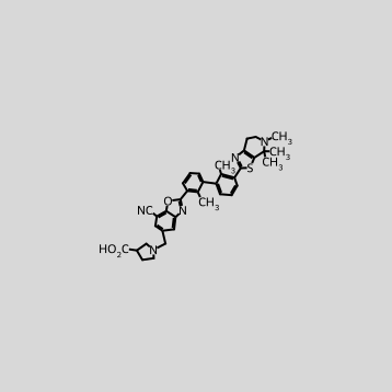 Cc1c(-c2nc3cc(CN4CCC(C(=O)O)C4)cc(C#N)c3o2)cccc1-c1cccc(-c2nc3c(s2)C(C)(C)N(C)CC3)c1C